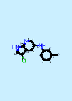 Cc1cccc(Nc2cnc3[nH]cc(Cl)c3c2)c1